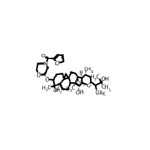 CC(=O)OC(C1C[C@@H](C)[C@H]2C(O1)[C@H](O)[C@@]1(C)C3CC[C@H]4C(C)(C)C(O[C@H]5CN(C(=O)c6ccco6)CCO5)CCC45CC35CCC21C)C(C)(C)O